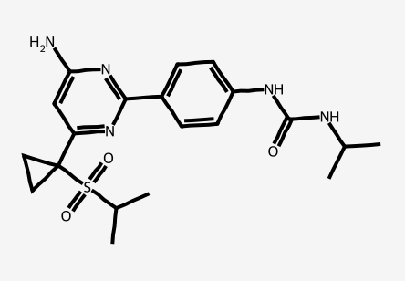 CC(C)NC(=O)Nc1ccc(-c2nc(N)cc(C3(S(=O)(=O)C(C)C)CC3)n2)cc1